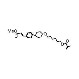 C=C(C)C(=O)OCCCCCCOC1CCC(c2ccc(/C=C/C(=O)OC)cc2)CC1